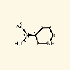 CC(=O)N(C)[C@H]1CCCNC1